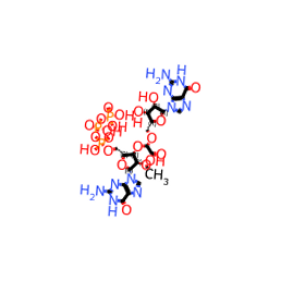 CO[C@@H]1[C@H](OC(OC[C@H]2O[C@@H](n3cnc4c(=O)[nH]c(N)nc43)[C@H](O)[C@@H]2O)C(=O)O)[C@@H](COP(=O)(O)OP(=O)(O)OP(=O)(O)O)O[C@H]1n1cnc2c(=O)[nH]c(N)nc21